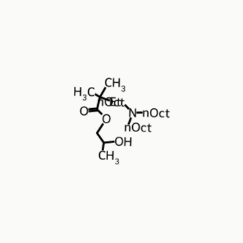 CCC(C)(C)C(=O)OCC(C)O.CCCCCCCCN(CCCCCCCC)CCCCCCCC